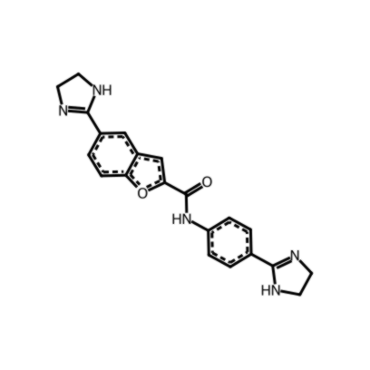 O=C(Nc1ccc(C2=NCCN2)cc1)c1cc2cc(C3=NCCN3)ccc2o1